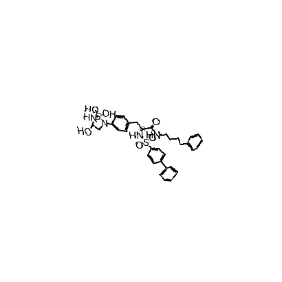 O=C(NCCCCc1ccccc1)[C@H](Cc1ccc(N2CC(O)NS2(O)O)cc1)NS(=O)(=O)c1ccc(-c2ccccc2)cc1